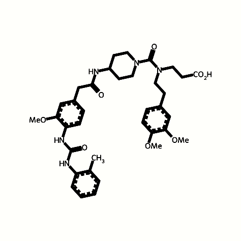 COc1cc(CC(=O)NC2CCN(C(=O)N(CCC(=O)O)CCc3ccc(OC)c(OC)c3)CC2)ccc1NC(=O)Nc1ccccc1C